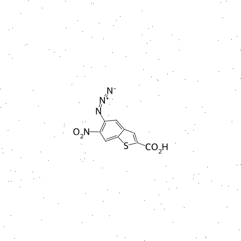 [N-]=[N+]=Nc1cc2cc(C(=O)O)sc2cc1[N+](=O)[O-]